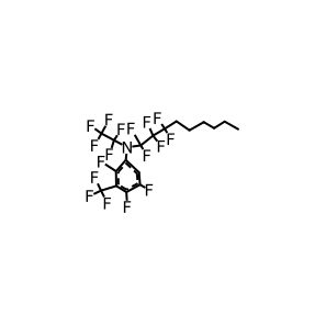 CCCCCCC(F)(F)C(F)(F)C(F)(F)N(c1cc(F)c(F)c(C(F)(F)F)c1F)C(F)(F)C(F)(F)F